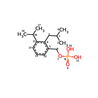 CC(C)Cc1c(COP(=O)(O)O)cccc1C(C)C